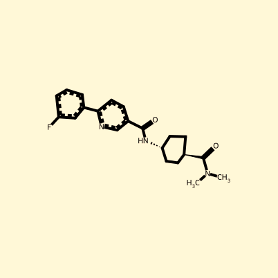 CN(C)C(=O)[C@H]1CC[C@H](NC(=O)c2ccc(-c3cccc(F)c3)nc2)CC1